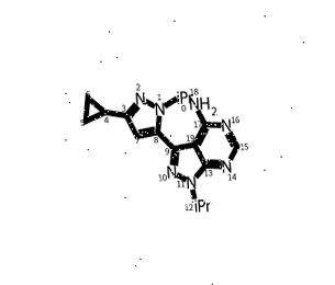 CC(C)n1nc(C2CC2)cc1-c1nn(C(C)C)c2ncnc(N)c12